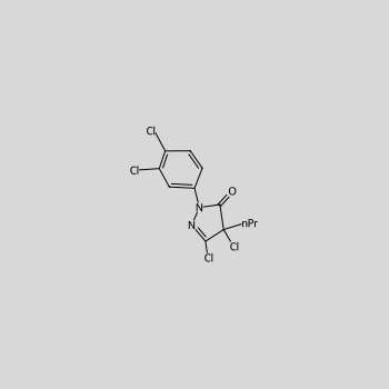 CCCC1(Cl)C(=O)N(c2ccc(Cl)c(Cl)c2)N=C1Cl